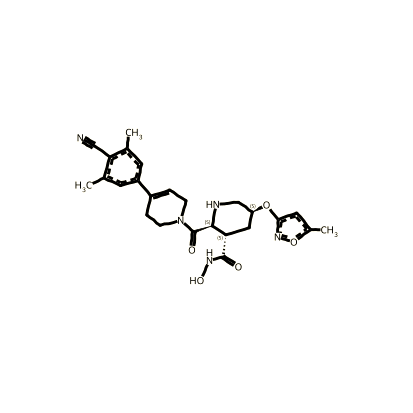 Cc1cc(O[C@@H]2CN[C@H](C(=O)N3CC=C(c4cc(C)c(C#N)c(C)c4)CC3)[C@@H](C(=O)NO)C2)no1